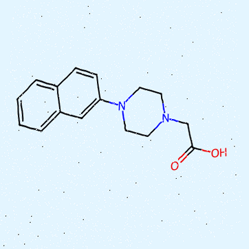 O=C(O)CN1CCN(c2ccc3ccccc3c2)CC1